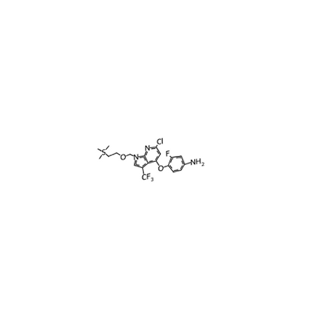 CS(C)(C)CCOCn1cc(C(F)(F)F)c2c(Oc3ccc(N)cc3F)cc(Cl)nc21